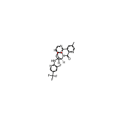 Cc1cnc(C(=O)N2C[C@@H]3CC[C@H]2[C@H](Nc2ncc(C(F)(F)F)cc2F)C3)c(-c2ncccn2)c1